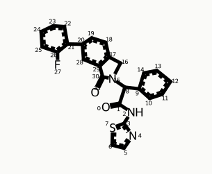 O=C(Nc1nccs1)C(c1ccccc1)N1Cc2ccc(-c3ccccc3F)cc2C1=O